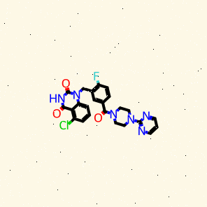 O=C(c1ccc(F)c(Cn2c(=O)[nH]c(=O)c3c(Cl)cccc32)c1)N1CCN(c2ncccn2)CC1